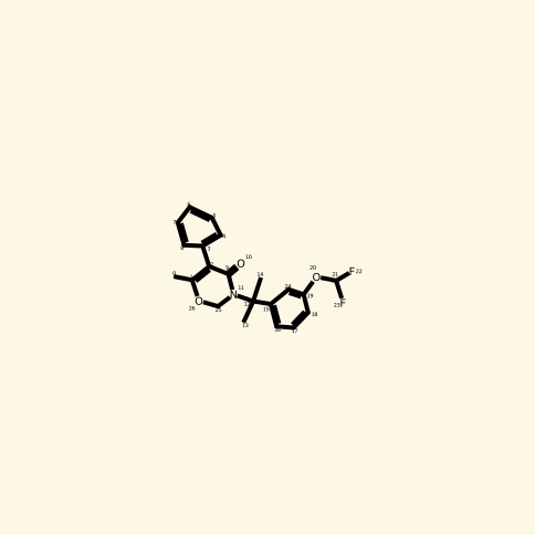 CC1=C(c2ccccc2)C(=O)N(C(C)(C)c2cccc(OC(F)F)c2)CO1